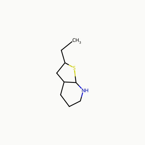 CCC1CC2CCCNC2S1